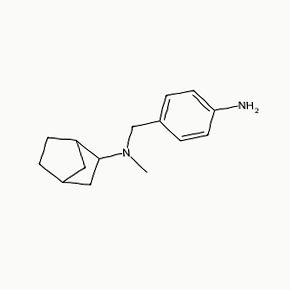 CN(Cc1ccc(N)cc1)C1CC2CCC1C2